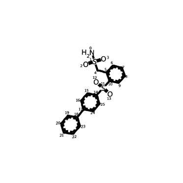 NS(=O)(=O)Cc1ccccc1S(=O)(=O)c1ccc(-c2ccccc2)cc1